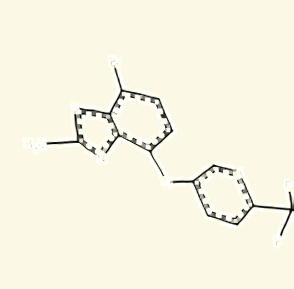 Cc1nc2c(Oc3ccc(C(F)(F)F)nc3)ccc(Br)c2s1